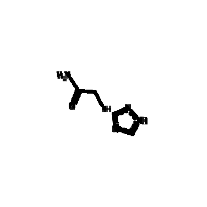 NC(=O)CS.c1nc[nH]n1